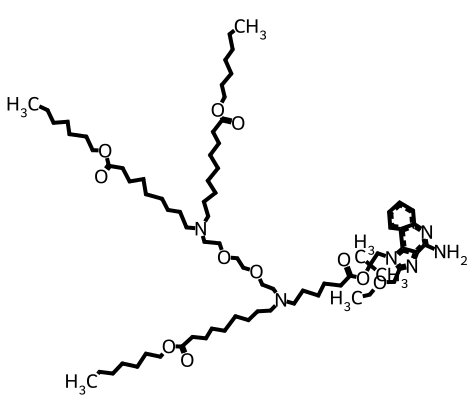 CCCCCCCOC(=O)CCCCCCCCN(CCCCCCCCC(=O)OCCCCCCC)CCOCCOCCN(CCCCCCCCC(=O)OCCCCCCC)CCCCCC(=O)OC(C)(C)Cn1c(COCC)nc2c(N)nc3ccccc3c21